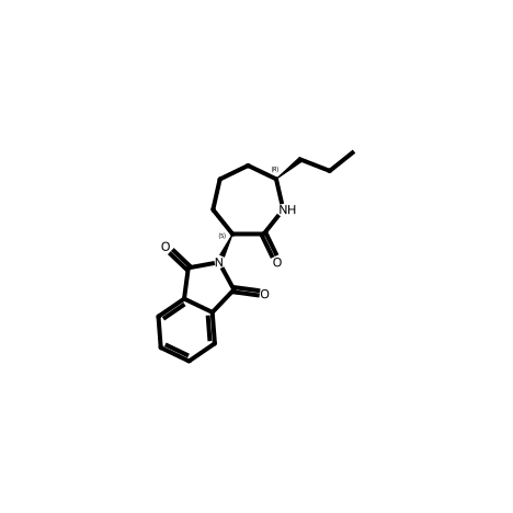 CCC[C@@H]1CCC[C@H](N2C(=O)c3ccccc3C2=O)C(=O)N1